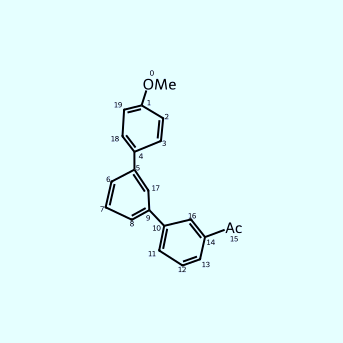 COc1ccc(-c2cccc(-c3cccc(C(C)=O)c3)c2)cc1